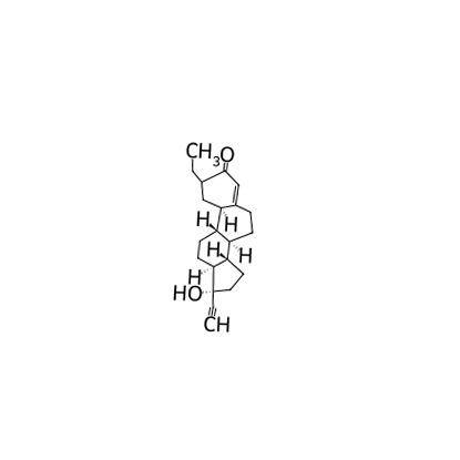 C#C[C@]1(O)CC[C@H]2[C@@H]3CCC4=CC(=O)C(CC)C[C@@H]4[C@H]3CC[C@@H]21